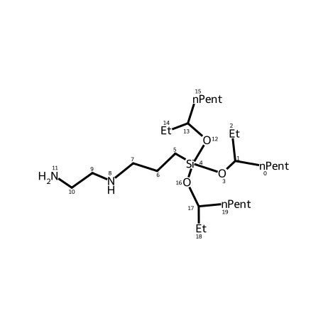 CCCCCC(CC)O[Si](CCCNCCN)(OC(CC)CCCCC)OC(CC)CCCCC